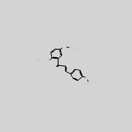 COc1ccc(/C=C/C(=O)c2cc(OC)ccc2OC)cc1